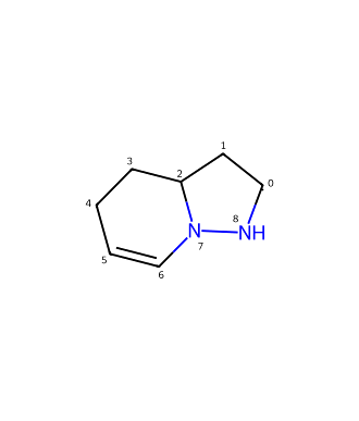 [CH]1CC2CCC=CN2N1